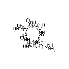 CC(=O)N[C@H](CCCNC(=N)N)C(=O)N[C@H]1CCC(=O)NCCCC(C(=O)O)NC(=O)[C@H](Cc2c[nH]c3ccccc23)NC(=O)[C@H](CCCNC(=N)N)NC(=O)C(Cc2ccccc2)NC(=O)C(Cc2c[nH]cn2)NC1=O